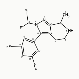 CC1NCCc2c1nn(C(F)F)c2-c1cc(F)cc(F)c1